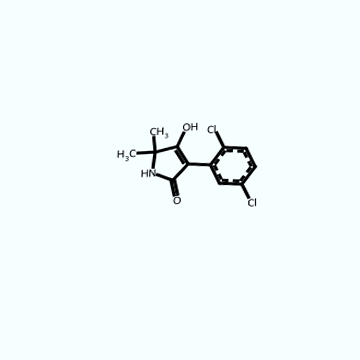 CC1(C)NC(=O)C(c2cc(Cl)ccc2Cl)=C1O